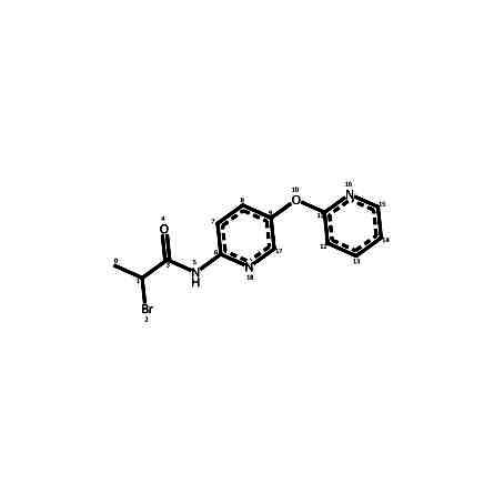 CC(Br)C(=O)Nc1ccc(Oc2ccccn2)cn1